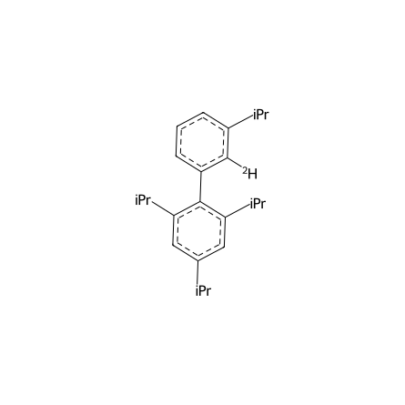 [2H]c1c(-c2c(C(C)C)cc(C(C)C)cc2C(C)C)cccc1C(C)C